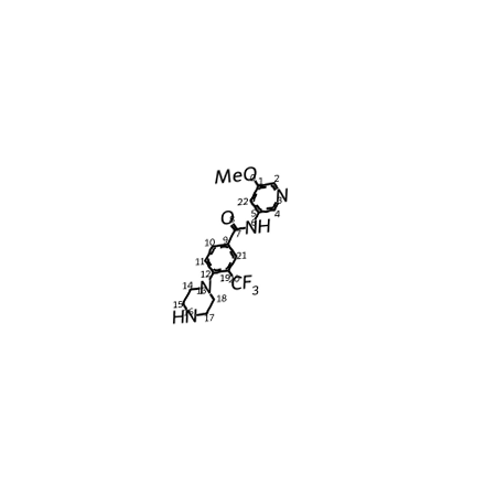 COc1cncc(NC(=O)c2ccc(N3CCNCC3)c(C(F)(F)F)c2)c1